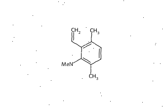 C=Cc1c(C)ccc(C)c1NC